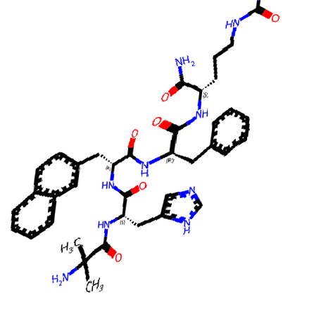 CC(C)(N)C(=O)N[C@@H](Cc1cnc[nH]1)C(=O)N[C@H](Cc1ccc2ccccc2c1)C(=O)N[C@H](Cc1ccccc1)C(=O)N[C@@H](CCCNC(N)=O)C(N)=O